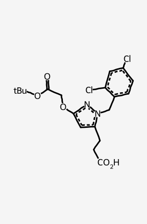 CC(C)(C)OC(=O)COc1cc(CCC(=O)O)n(Cc2ccc(Cl)cc2Cl)n1